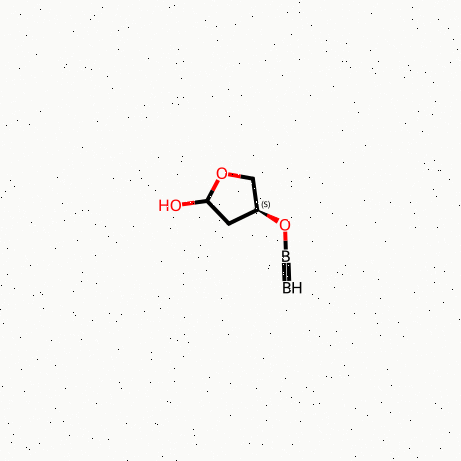 B=BO[C@@H]1COC(O)C1